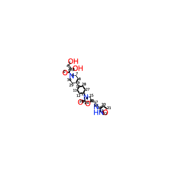 O=C([C@@H](O)CO)N1CC=C(c2ccc(N3C[C@H](CNc4ccon4)OC3=O)cc2)CC1